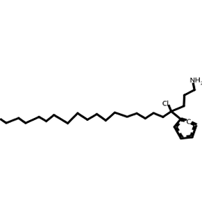 CCCCCCCCCCCCCCCCCCC(Cl)(CCCN)c1ccccc1